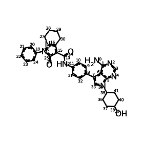 Nc1ncnc2c1c(-c1ccc(NC(=O)c3c4n(n(-c5ccccc5)c3=O)CCCC4)cc1)cn2C1CCC(O)CC1